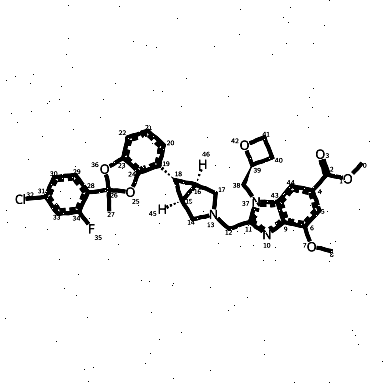 COC(=O)c1cc(OC)c2nc(CN3C[C@@H]4[C@H](C3)[C@H]4c3cccc4c3OC(C)(c3ccc(Cl)cc3F)O4)n(C[C@@H]3CCO3)c2c1